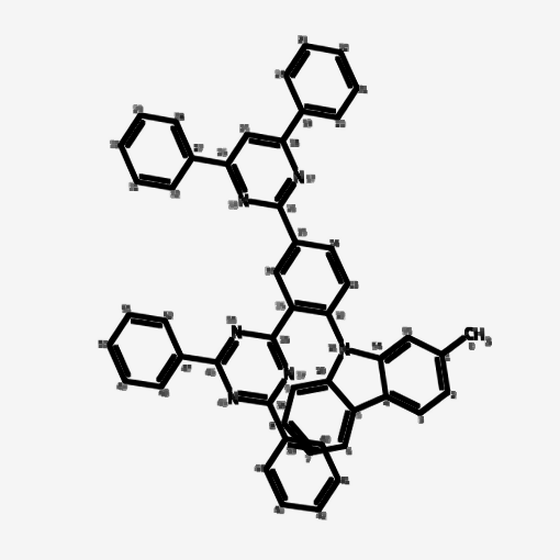 Cc1ccc2c3ccccc3n(-c3ccc(-c4nc(-c5ccccc5)cc(-c5ccccc5)n4)cc3-c3nc(-c4ccccc4)nc(-c4ccccc4)n3)c2c1